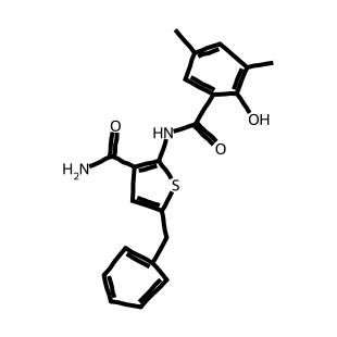 Cc1cc(C)c(O)c(C(=O)Nc2sc(Cc3ccccc3)cc2C(N)=O)c1